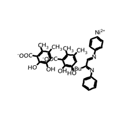 CCCCC(C=Nc1ccccc1)=Nc1ccccc1.Cc1cc(O)c(O)c(C(=O)[O-])c1C.Cc1cc(O)c(O)c(C(=O)[O-])c1C.[Ni+2]